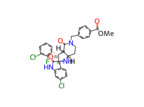 COC(=O)c1ccc(CN2CC[C@H]3N[C@@]4(C(=O)Nc5cc(Cl)ccc54)[C@H](c4cccc(Cl)c4F)[C@H]3C2=O)cc1